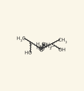 CCCCCCCCC(CCCCCCCCCOP(=O)(NCC[N+](C)(C)C)OCCCCCCCCCC(CCCCCCCC)SCCCCCCCO)SCCCCCCCO